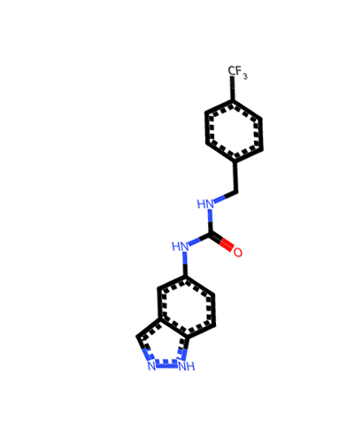 O=C(NCc1ccc(C(F)(F)F)cc1)Nc1ccc2[nH]ncc2c1